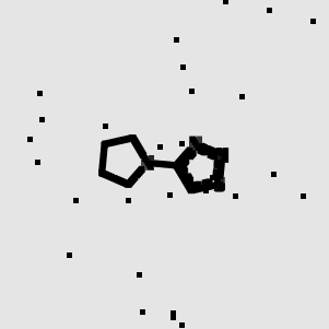 c1snnc1N1CCCC1